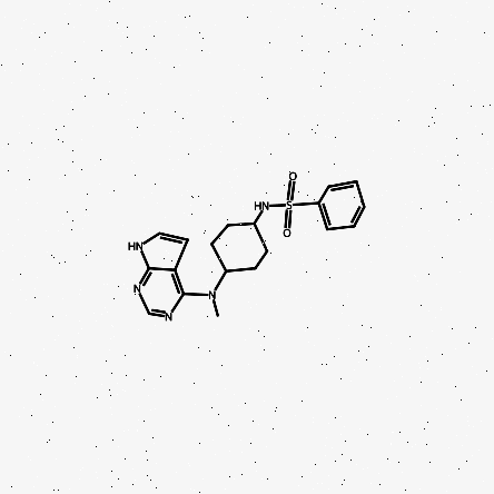 CN(c1ncnc2[nH]ccc12)C1CCC(NS(=O)(=O)c2ccccc2)CC1